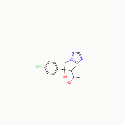 CC(O)C(C)C(O)(Cn1cncn1)c1ccc(Cl)cc1